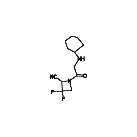 N#CC1N(C(=O)CNC2CCCCC2)CC1(F)F